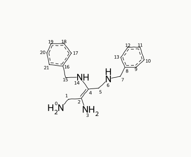 NCC(N)=C(CNCc1ccccc1)NCc1ccccc1